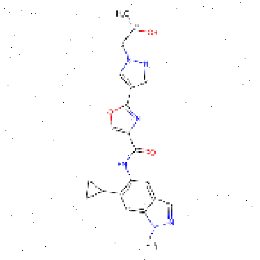 C[C@H](O)Cn1cc(-c2nc(C(=O)Nc3cc4cnn(C)c4cc3C3CC3)co2)cn1